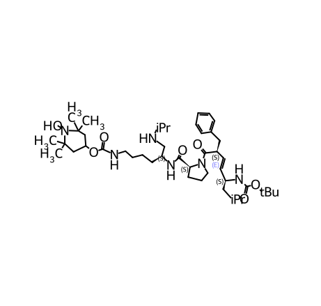 CC(C)C[C@@H](/C=C/[C@H](Cc1ccccc1)C(=O)N1CCC[C@H]1C(=O)N[C@@H](CCCCNC(=O)OC1CC(C)(C)N(O)C(C)(C)C1)CNC(C)C)NC(=O)OC(C)(C)C